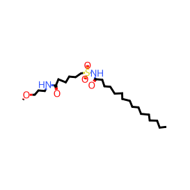 CCCCCCCCCCCCCCCC(=O)NS(=O)(=O)CCCCCC(=O)NCCCOC